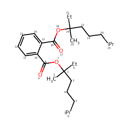 CCC(C)(CCCC(C)C)OC(=O)c1ccccc1C(=O)OC(C)(CC)CCCC(C)C